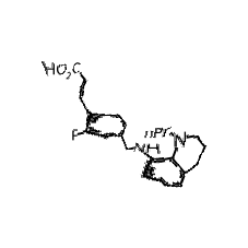 CCCN1CCCc2cccc(NCc3ccc(C=CC(=O)O)c(F)c3)c21